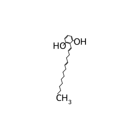 CCCCCCCCCC=CCCC=Cc1c(O)cccc1O